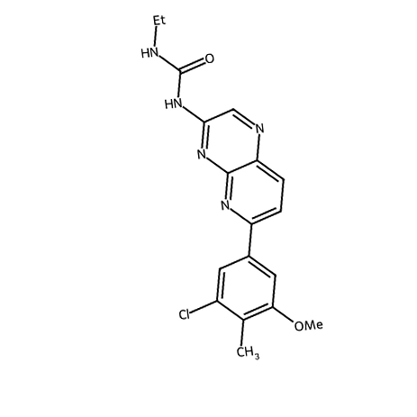 CCNC(=O)Nc1cnc2ccc(-c3cc(Cl)c(C)c(OC)c3)nc2n1